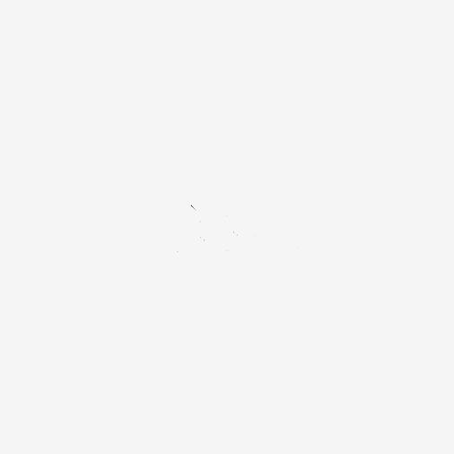 C[C@H](c1ccccc1)N1[C@@H](Cc2ccccc2)C(=O)N(C(=O)OC(C)(C)C)[C@@H]1c1c(Cl)cccc1Cl